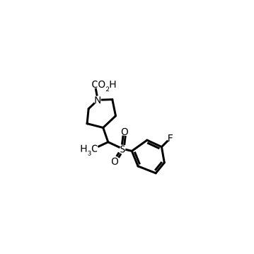 CC(C1CCN(C(=O)O)CC1)S(=O)(=O)c1cccc(F)c1